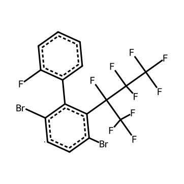 Fc1ccccc1-c1c(Br)[c]cc(Br)c1C(F)(C(F)(F)F)C(F)(F)C(F)(F)F